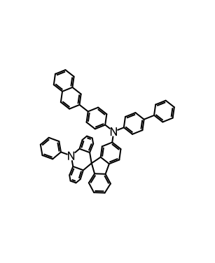 c1ccc(-c2ccc(N(c3ccc(-c4ccc5ccccc5c4)cc3)c3ccc4c(c3)C3(c5ccccc5-4)c4ccccc4N(c4ccccc4)c4ccccc43)cc2)cc1